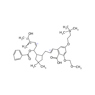 COCOc1cc(OCC[Si](C)(C)C)cc(/C=C/CC2CC(C)(C)CC2C(/C=C\[C@@H](C)[C@H](C)O)OC(=O)c2ccccc2)c1C(=O)O